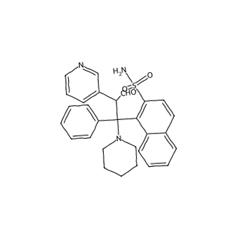 NS(=O)(=O)c1ccc2ccccc2c1C(c1ccccc1)(C(C=O)c1cccnc1)N1CCCCC1